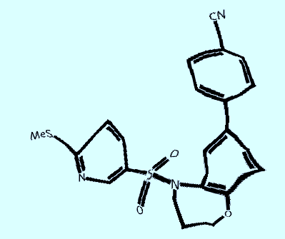 CSc1ccc(S(=O)(=O)N2CCOc3ccc(-c4ccc(C#N)cc4)cc32)cn1